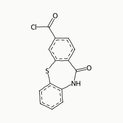 O=C(Cl)c1ccc2c(c1)Sc1ccccc1NC2=O